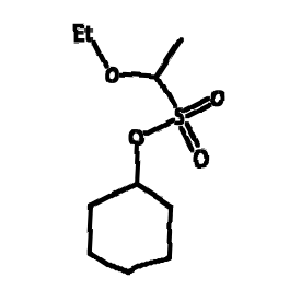 CCOC(C)S(=O)(=O)OC1CCCCC1